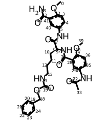 COc1ccc(NC(=O)[C@H](CCCCNC(=O)OCc2ccccc2)NC(=O)c2cc(NC(C)=O)ccc2OC)cc1C(N)=O